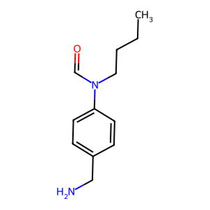 CCCCN(C=O)c1ccc(CN)cc1